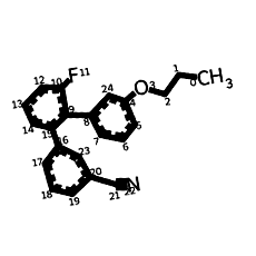 CCCOc1cccc(-c2c(F)cccc2-c2cccc(C#N)c2)c1